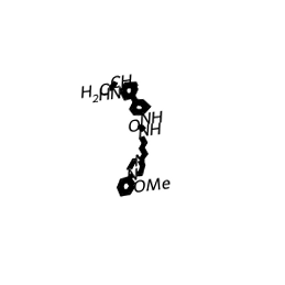 C=C(C)Nc1cccc(-c2ccc(NC(=O)NCCCCN3CCN(c4ccccc4OC)CC3)cc2)c1